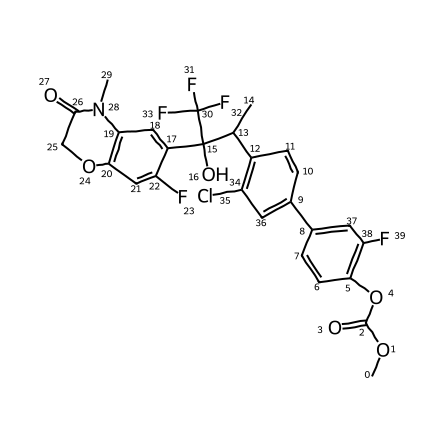 COC(=O)Oc1ccc(-c2ccc(C(C)C(O)(c3cc4c(cc3F)OCC(=O)N4C)C(F)(F)F)c(Cl)c2)cc1F